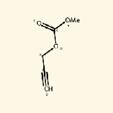 C#CCOC(=O)OC